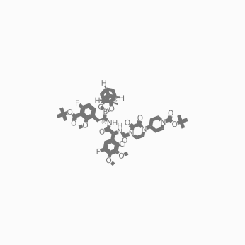 COc1c(F)cc(C(NC(=O)N2CCN(C3CCN(C(=O)OC(C)(C)C)CC3)C(=O)C2=O)C(=O)N[C@@H](Cc2ccc(F)c(C(=O)OC(C)(C)C)c2OC)B2O[C@@H]3C[C@@H]4C[C@@H](C4(C)C)[C@]3(C)O2)c(Cl)c1OC